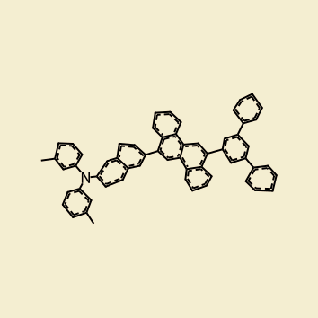 Cc1cccc(N(c2cccc(C)c2)c2ccc3cc(-c4cc5c6ccccc6c(-c6cc(-c7ccccc7)cc(-c7ccccc7)c6)cc5c5ccccc45)ccc3c2)c1